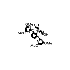 COc1cc(OC)nc(Oc2cccc(Oc3nc(OC)cc(OC)n3)c2C(=O)O)n1.OCCNCCO